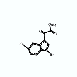 CCn1cc(C(=O)C(=O)OC)c2cc(Cl)ccc21